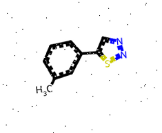 Cc1cccc(-c2cnns2)c1